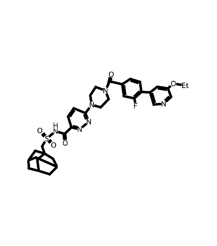 CCOc1cncc(-c2ccc(C(=O)N3CCN(c4ccc(C(=O)NS(=O)(=O)CC56CC7CC(CC(C7)C5)C6)nn4)CC3)cc2F)c1